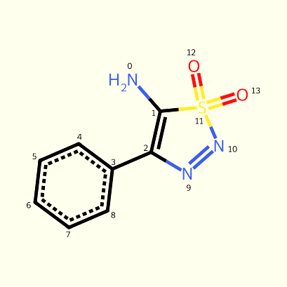 NC1=C(c2ccccc2)N=NS1(=O)=O